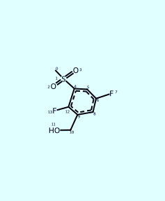 CS(=O)(=O)c1cc(F)cc(CO)c1F